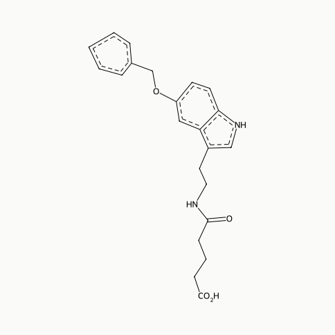 O=C(O)CCCC(=O)NCCc1c[nH]c2ccc(OCc3ccccc3)cc12